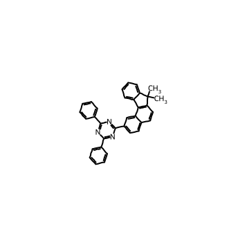 CC1(C)c2ccccc2-c2c1ccc1ccc(-c3nc(-c4ccccc4)nc(-c4ccccc4)n3)cc21